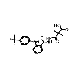 CC(C)(C(=O)O)C(=O)NNC(=O)c1ccccc1Nc1ccc(C(F)(F)F)cc1